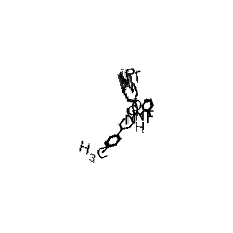 Cc1ccc(C2CCN(C(=O)Nc3c(F)cccc3OC3CCN(C(C)C)CC3)CC2)cc1